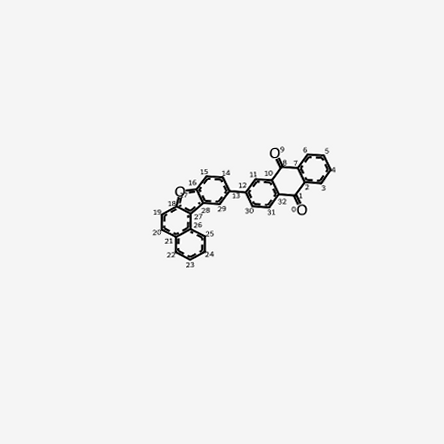 O=C1c2ccccc2C(=O)c2cc(-c3ccc4oc5ccc6ccccc6c5c4c3)ccc21